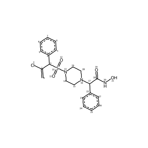 C=C(Cl)C(c1ccccc1)S(=O)(=O)N1CCN(C(C(=O)NO)c2ccccc2)CC1